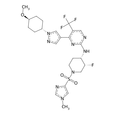 CO[C@H]1CC[C@H](n2cc(-c3nc(N[C@H]4CCN(S(=O)(=O)c5cn(C)cn5)C[C@H]4F)ncc3C(F)(F)F)cn2)CC1